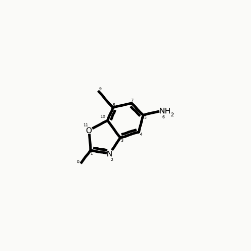 Cc1nc2cc(N)cc(C)c2o1